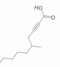 CCCCCC(C)CC#CC(=O)O